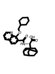 O=C(N[C@H](C(=O)O)C12CC3CC(CC(C3)C1)C2)c1ccc2cccnc2c1OCC1CCCCC1